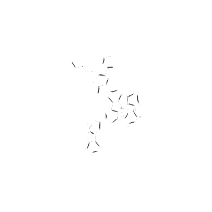 C=CCCO/C(C)=C(/C=C(\C=C)c1ccc2c(c1)-c1cc(/C(C)=C/c3c(CC)oc4ccccc34)ccc1[Si]2(c1ccccc1)c1ccccc1)C(=C)/C=C\C